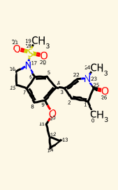 Cc1cc(-c2cc3c(cc2OCC2CC2)CCN3S(C)(=O)=O)cn(C)c1=O